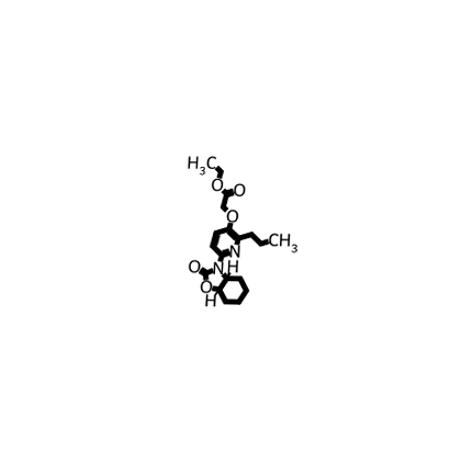 CCCc1nc(N2C(=O)O[C@@H]3CCCC[C@H]32)ccc1OCC(=O)OCC